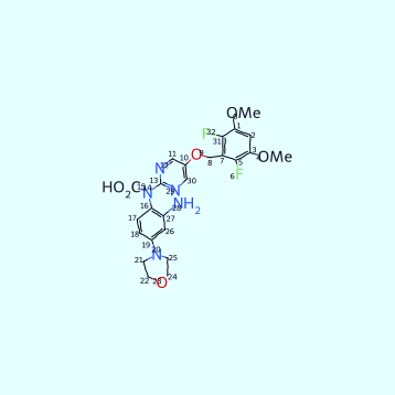 COc1cc(OC)c(F)c(COc2cnc(N(C(=O)O)c3ccc(N4CCOCC4)cc3N)nc2)c1F